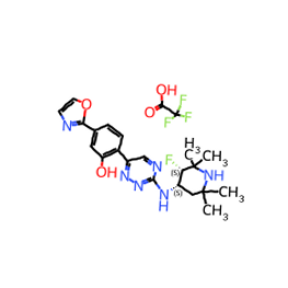 CC1(C)C[C@H](Nc2ncc(-c3ccc(-c4ncco4)cc3O)nn2)[C@H](F)C(C)(C)N1.O=C(O)C(F)(F)F